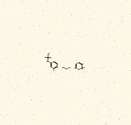 CCCC1(O)CC(OCCCOc2ccc(C(O)C(C)(C)CC(=O)O)cc2Cl)=CC=C1C(C)=O